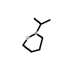 CC(C)B1CCCCO1